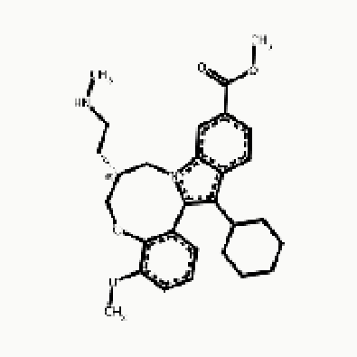 CNCC[C@H]1COc2c(OC)cccc2-c2c(C3CCCCC3)c3ccc(C(=O)OC)cc3n2C1